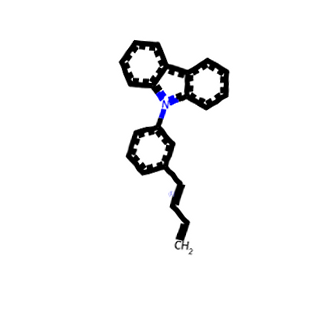 C=C/C=C/c1cccc(-n2c3ccccc3c3ccccc32)c1